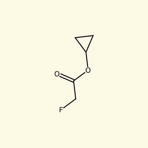 O=C(CF)OC1CC1